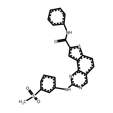 CS(=O)(=O)c1cccc(Nc2ncc3ccc4sc(C(=O)Nc5ccccc5)cc4c3n2)c1